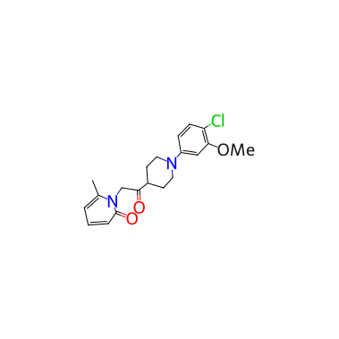 COc1cc(N2CCC(C(=O)Cn3c(C)cccc3=O)CC2)ccc1Cl